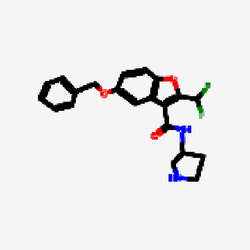 O=C(NC1CCNC1)c1c(C(F)F)oc2ccc(OCc3ccccc3)cc12